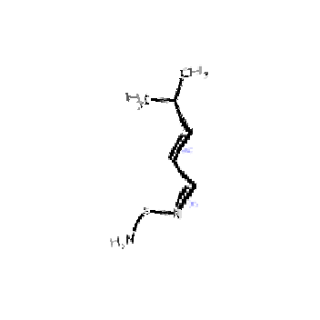 CC(C)/C=C/C=N\SN